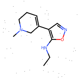 CCNc1oncc1C1=CCCN(C)C1